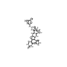 CS(=O)(=O)N(CCCc1n[nH]c(=O)o1)c1cc2oc(-c3ccc(F)cc3)c(-c3ncc[nH]3)c2cc1C1CC1